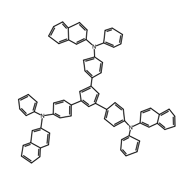 c1ccc(N(c2ccc(-c3cc(-c4ccc(N(c5ccccc5)c5ccc6ccccc6c5)cc4)cc(-c4ccc(N(c5ccccc5)c5ccc6ccccc6c5)cc4)c3)cc2)c2ccc3ccccc3c2)cc1